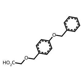 O=C(O)COCc1ccc(OCc2ccccc2)cc1